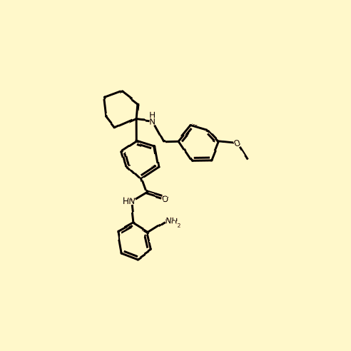 COc1ccc(CNC2(c3ccc(C(=O)Nc4ccccc4N)cc3)CCCCC2)cc1